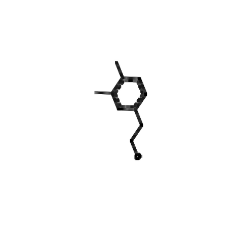 Cc1ccc(CC[O])cc1C